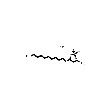 CCCCCCCCCCOC(CCC)OS(=O)(=O)[O-].[Na+]